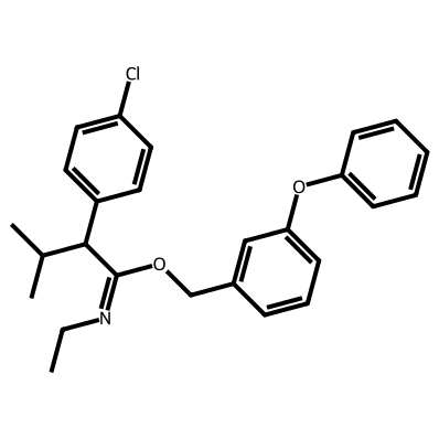 CCN=C(OCc1cccc(Oc2ccccc2)c1)C(c1ccc(Cl)cc1)C(C)C